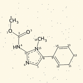 COC(=O)Nc1ncc(C2=CCCC=C2)n1C